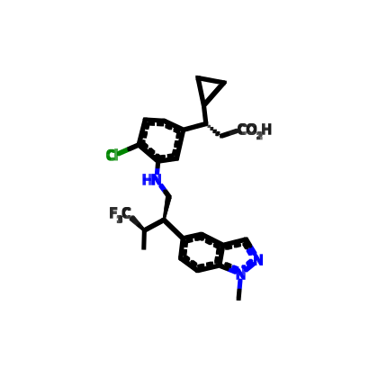 C[C@H]([C@@H](CNc1cc([C@@H](CC(=O)O)C2CC2)ccc1Cl)c1ccc2c(cnn2C)c1)C(F)(F)F